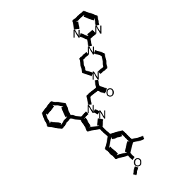 COc1ccc(-c2cc(-c3ccccc3)n(CC(=O)N3CCN(c4ncccn4)CC3)n2)cc1C